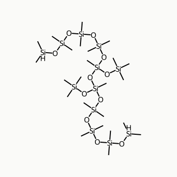 C[SiH](C)O[Si](C)(C)O[Si](C)(C)O[Si](C)(C)O[Si](C)(O[Si](C)(C)C)O[Si](C)(O[Si](C)(C)C)O[Si](C)(C)O[Si](C)(C)O[Si](C)(C)O[SiH](C)C